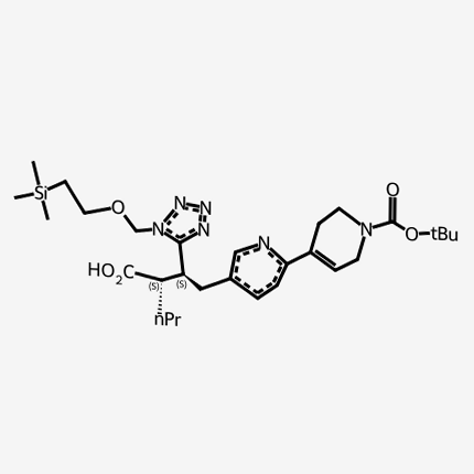 CCC[C@H](C(=O)O)[C@H](Cc1ccc(C2=CCN(C(=O)OC(C)(C)C)CC2)nc1)c1nnnn1COCC[Si](C)(C)C